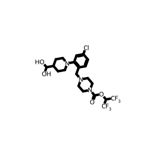 O=C(OC(C(F)(F)F)C(F)(F)F)N1CCN(Cc2ccc(Cl)cc2N2CCC(C(O)O)CC2)CC1